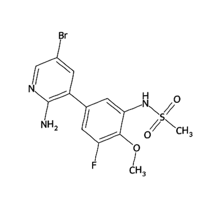 COc1c(F)cc(-c2cc(Br)cnc2N)cc1NS(C)(=O)=O